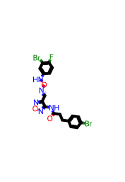 O=C(CCc1ccc(Br)cc1)Nc1nonc1/C=N/ONc1ccc(F)c(Br)c1